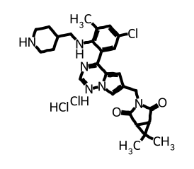 Cc1cc(Cl)cc(-c2ncnn3cc(CN4C(=O)C5C(C4=O)C5(C)C)cc23)c1NCC1CCNCC1.Cl.Cl